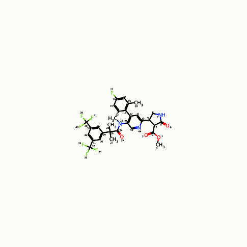 COC(=O)C1C(=O)NCC1c1cc(-c2ccc(F)cc2C)c(N(C)C(=O)C(C)(C)c2cc(C(F)(F)F)cc(C(F)(F)F)c2)cn1